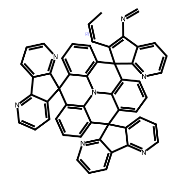 C=NC1=C(/C=C\C)C2(c3cccc4c3N3c5c2cccc5C2(c5cccnc5-c5cccnc52)c2cccc(c23)C42c3cccnc3-c3cccnc32)c2ncccc21